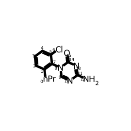 CCCc1cccc(Cl)c1-n1cnc(N)nc1=O